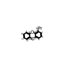 CC(C)c1cccc2c1Oc1ccccc1O2